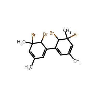 CC1=CC(C)(Br)C(Br)C(C2=CC(C)=CC(C)(Br)C2Br)=C1